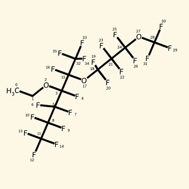 CCOC(F)(C(F)(F)C(F)(F)C(F)(F)F)C(F)(OC(F)(F)C(F)(F)C(F)(F)OC(F)(F)F)C(F)(F)F